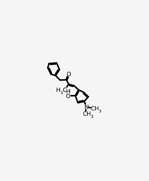 CC(=Cc1ccc(N(C)C)cc1O)C(=O)Cc1ccccc1